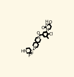 Cc1cc(C(=O)N2CCC3(CCN(C[C@H]4CCNCC4(F)F)CC3)CC2)cc(N2CCC(=O)NC2=O)c1Cl